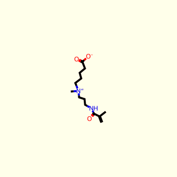 C=C(C)C(=O)NCCC[N+](C)(C)CCCCC(=O)[O-]